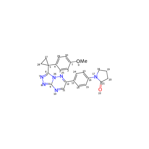 COc1ccc(C2(c3nnc4ncc(-c5ccc(N6CCCC6=O)cc5)nn34)CC2)cc1